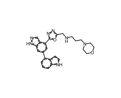 c1cc(-c2cc(-c3nnc(CNCCCN4CCOCC4)o3)c3cn[nH]c3c2)c2cc[nH]c2c1